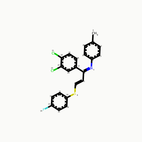 Cc1ccc(N=C(C=CSc2ccc(F)cc2)c2ccc(Cl)c(Cl)c2)cc1